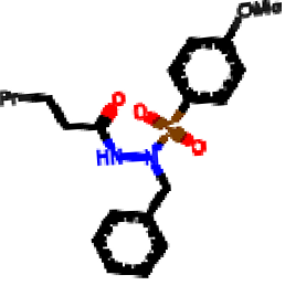 COc1ccc(S(=O)(=O)N(Cc2ccccc2)NC(=O)CCC(C)C)cc1